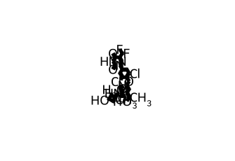 C=N/C(=C\C(=C(/C)O)S(=O)(=O)N[C@]1(C)C[C@@H](O)C1)Oc1c(Cl)cc(-n2nc(C(F)F)c(=O)[nH]c2=O)cc1Cl